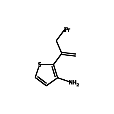 C=C(CC(C)C)c1sccc1N